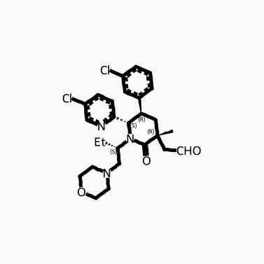 CC[C@@H](CN1CCOCC1)N1C(=O)[C@@](C)(CC=O)C[C@H](c2cccc(Cl)c2)[C@H]1c1ccc(Cl)cn1